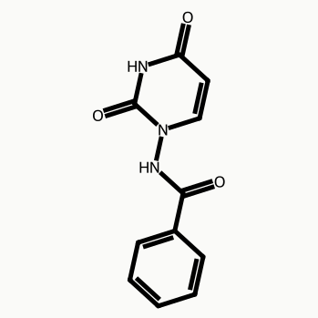 O=C(Nn1ccc(=O)[nH]c1=O)c1ccccc1